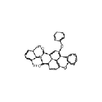 CC(C)C1=CC=CC(C(C)C)C1N1C(=O)C2=CC(OC3=CCCC=C3)=C3C4=C(C=CC(C1=O)C24)Oc1ccccc13